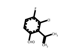 C=C(C)c1c(C=O)ccc(F)c1Cl